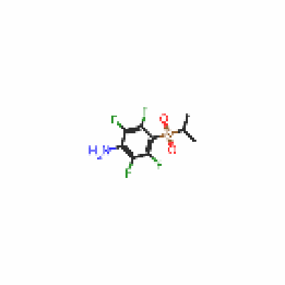 CC(C)S(=O)(=O)c1c(F)c(F)c(N)c(F)c1F